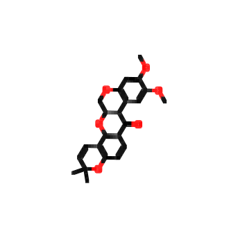 COc1cc2c(cc1OC)C1C(=O)c3ccc4c(c3OC1CO2)C=CC(C)(C)O4